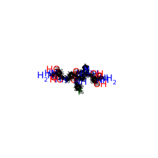 CN1CCCC1CCNC(=O)C(c1cccc(CC(C)(C)NC[C@@H](O)c2ccc(O)c(NC(N)=O)c2)c1)C(C(=O)NCc1ccc(F)cc1)c1cccc(CC(C)(C)NC[C@@H](O)c2ccc(O)c(NC(N)=O)c2)c1